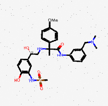 COc1ccc(C(C)(NC[C@@H](O)c2ccc(O)c(NS(C)(=O)=O)c2)C(=O)Nc2cccc(CN(C)C)c2)cc1